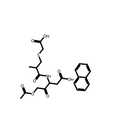 CC(=O)OCC(=O)C(CC(=O)O)NC(=O)C(C)CSCC(=O)O.c1ccc2ccccc2c1